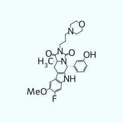 COc1cc2c3c([nH]c2cc1F)[C@@H](c1cccc(O)c1)N1C(=O)N(CCCN2CCOCC2)C(=O)[C@]1(C)C3